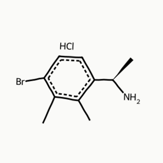 Cc1c(Br)ccc([C@@H](C)N)c1C.Cl